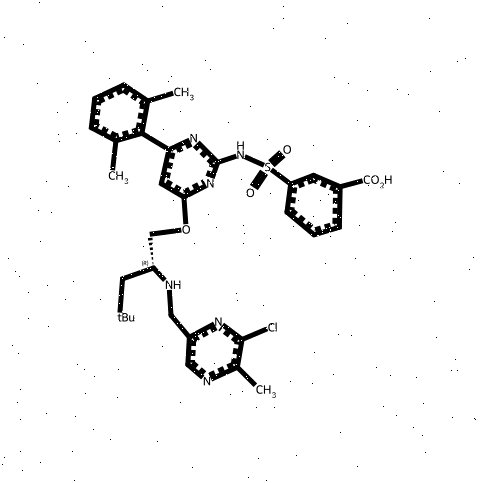 Cc1cccc(C)c1-c1cc(OC[C@@H](CC(C)(C)C)NCc2cnc(C)c(Cl)n2)nc(NS(=O)(=O)c2cccc(C(=O)O)c2)n1